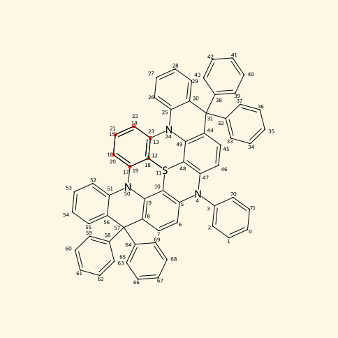 c1ccc(N2c3ccc4c5c3S3(c6ccccc6)c6c(cccc6N6c7ccccc7C(c7ccccc7)(c7ccccc7)c7ccc2c3c76)N5c2ccccc2C4(c2ccccc2)c2ccccc2)cc1